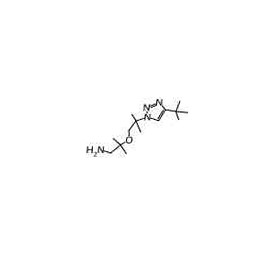 CC(C)(CN)OCC(C)(C)n1cc(C(C)(C)C)nn1